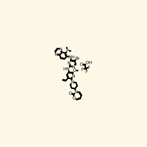 C=Cc1cc(Nc2ncc(Br)c(Nc3ccc4nccnc4c3P(C)C)n2)c(OC)nc1N1CCC(N2C=CC=COC2=O)CC1.O=C(O)C(F)(F)F